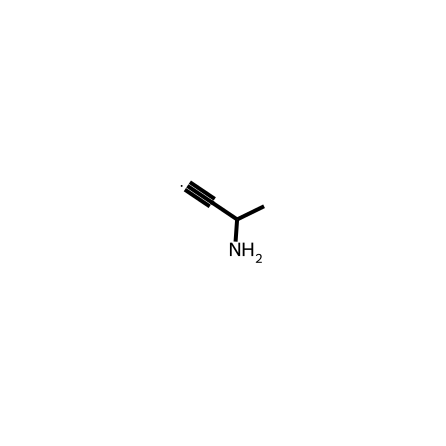 [C]#CC(C)N